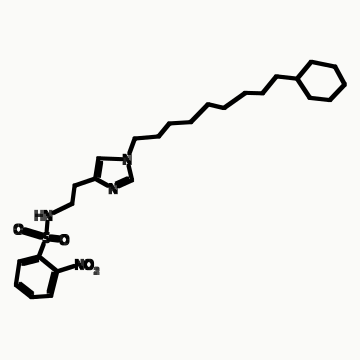 O=[N+]([O-])c1ccccc1S(=O)(=O)NCCc1cn(CCCCCCCCCC2CCCCC2)cn1